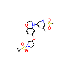 Cc1cc(N2CCOc3ccc(OC4CCN(S(=O)(=O)C5CC5)C4)cc32)cnc1S(C)(=O)=O